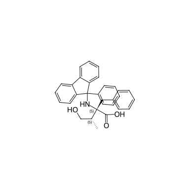 C[C@H](CO)[C@](Cc1ccccc1)(NC1(c2ccccc2)c2ccccc2-c2ccccc21)C(=O)O